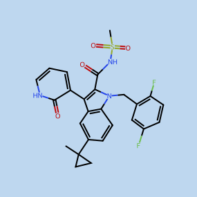 CC1(c2ccc3c(c2)c(-c2ccc[nH]c2=O)c(C(=O)NS(C)(=O)=O)n3Cc2cc(F)ccc2F)CC1